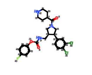 O=C(NC[C@H]1CN(C(=O)C2CCNCC2)C[C@H]1c1ccc(Cl)c(Cl)c1)Oc1ccc(F)cc1